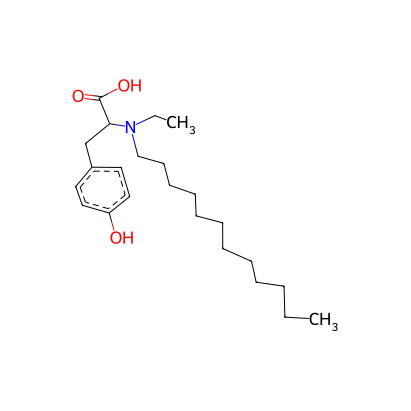 CCCCCCCCCCCCN(CC)C(Cc1ccc(O)cc1)C(=O)O